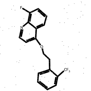 Fc1cccc2c(OCCc3ccccc3C(F)(F)F)ccnc12